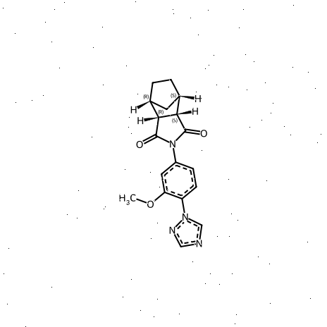 COc1cc(N2C(=O)[C@@H]3[C@@H]4CC[C@@H](C4)[C@@H]3C2=O)ccc1-n1cncn1